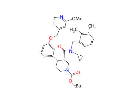 COc1cc(COc2cccc([C@H]3CCN(C(=O)OC(C)(C)C)C[C@@H]3C(=O)N(Cc3cccc(C)c3C)C3CC3)c2)ccn1